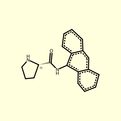 O=C(Nc1c2ccccc2cc2ccccc12)[C@@H]1CCCN1